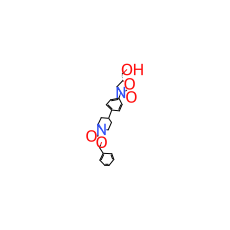 O=C(OCc1ccccc1)N1CCC(c2ccc(N3C[C@H](CO)OC3=O)cc2)CC1